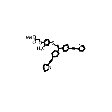 COC(=O)COc1ccc(SCC=C(c2ccc(C#Cc3ccccn3)cc2)c2ccc(C#Cc3ccccn3)cc2)cc1C